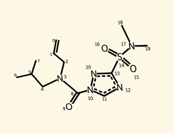 C=CCN(CC(C)C)C(=O)n1cnc(S(=O)(=O)N(C)C)n1